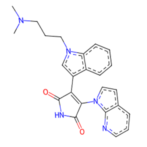 CN(C)CCCn1cc(C2=C(n3ccc4cccnc43)C(=O)NC2=O)c2ccccc21